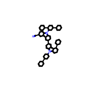 N#Cc1ccc2c(c1)c1cc(-c3ccc4c(c3)c3c(-c5ccccc5)cccc3n4-c3ccc(-c4ccccc4)cc3)ccc1n2-c1cc(-c2ccccc2)ccc1-c1ccccc1